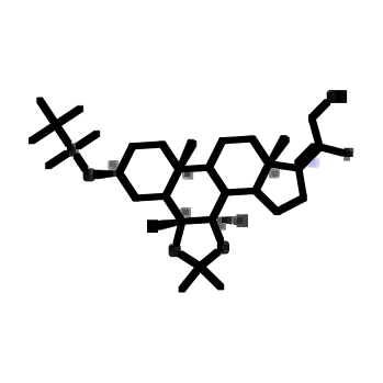 CC1(C)O[C@@H]2C3C(CC[C@]4(C)/C(=C(/F)CO)CCC34)[C@@]3(C)CC[C@H](O[Si](C)(C)C(C)(C)C)CC3[C@H]2O1